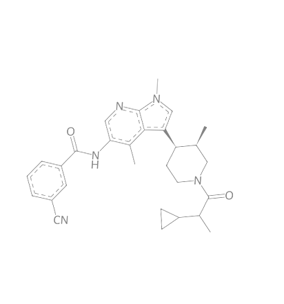 Cc1c(NC(=O)c2cccc(C#N)c2)cnc2c1c([C@@H]1CCN(C(=O)C(C)C3CC3)C[C@@H]1C)cn2C